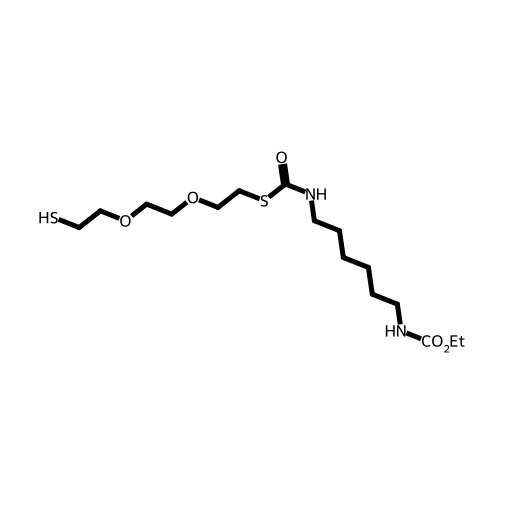 CCOC(=O)NCCCCCCNC(=O)SCCOCCOCCS